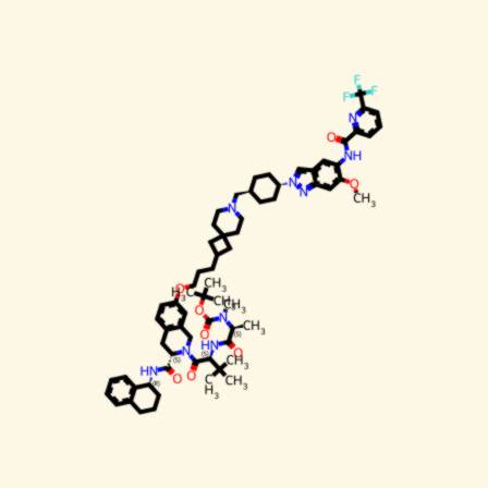 COc1cc2nn([C@H]3CC[C@H](CN4CCC5(CC4)CC(CCCOc4ccc6c(c4)CN(C(=O)[C@@H](NC(=O)[C@H](C)N(C)C(=O)OC(C)(C)C)C(C)(C)C)[C@H](C(=O)N[C@@H]4CCCc7ccccc74)C6)C5)CC3)cc2cc1NC(=O)c1cccc(C(F)(F)F)n1